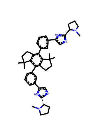 CN1CCCC1c1ncc(-c2cccc(-c3c4c(c(-c5cccc(-c6cnc([C@@H]7CCCN7C)[nH]6)c5)c5c3C(C)(C)CC5)C(C)(C)CC4)c2)[nH]1